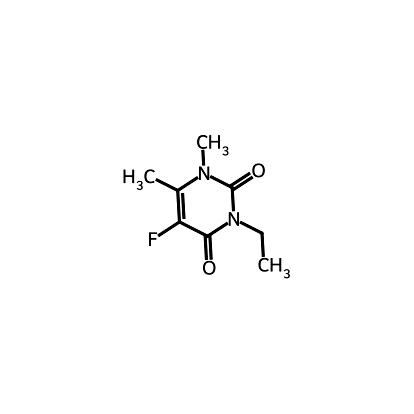 CCn1c(=O)c(F)c(C)n(C)c1=O